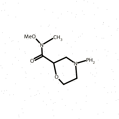 CON(C)C(=O)C1CN(P)CCO1